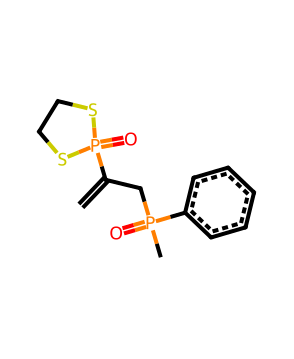 C=C(CP(C)(=O)c1ccccc1)P1(=O)SCCS1